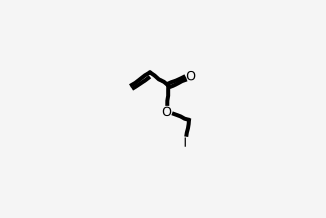 C=CC(=O)OCI